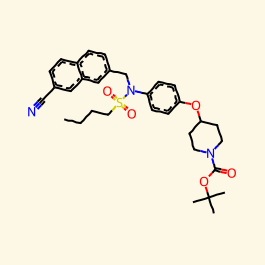 CCCCS(=O)(=O)N(Cc1ccc2ccc(C#N)cc2c1)c1ccc(OC2CCN(C(=O)OC(C)(C)C)CC2)cc1